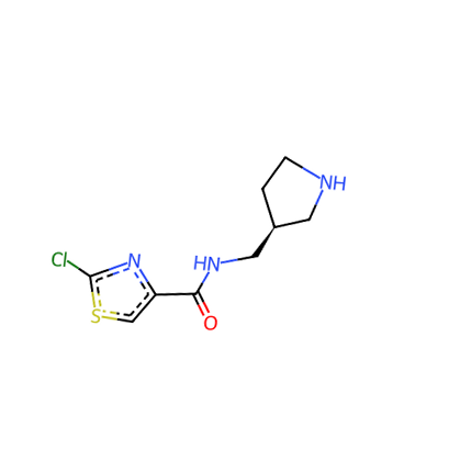 O=C(NC[C@H]1CCNC1)c1csc(Cl)n1